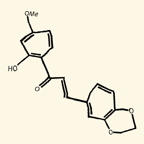 COc1ccc(C(=O)C=Cc2ccc3c(c2)OCCO3)c(O)c1